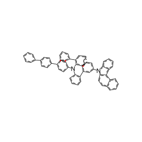 c1ccc(-c2ccc(-c3ccc(N(c4ccccc4-c4ccccc4)c4ccccc4-c4cccc(-n5c6ccccc6c6c7ccccc7ccc65)c4)cc3)cc2)cc1